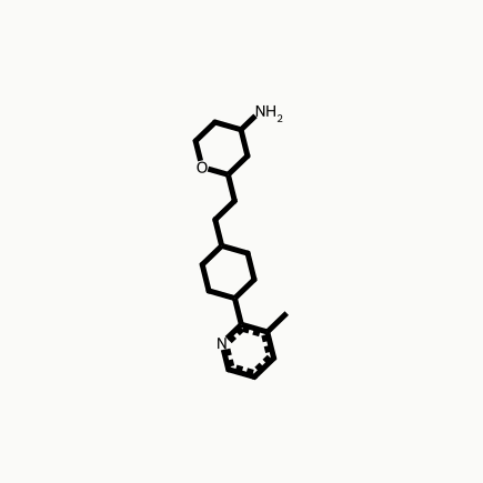 Cc1cccnc1C1CCC(CCC2CC(N)CCO2)CC1